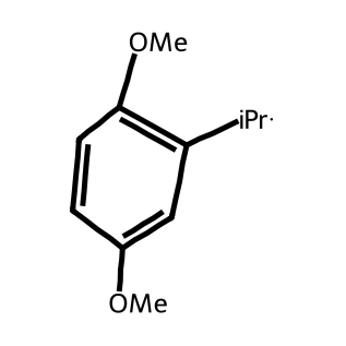 COc1ccc(OC)c([C](C)C)c1